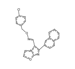 Clc1ccc(CON=Cc2c(-c3ccc4ccccc4c3)nc3occn23)cc1